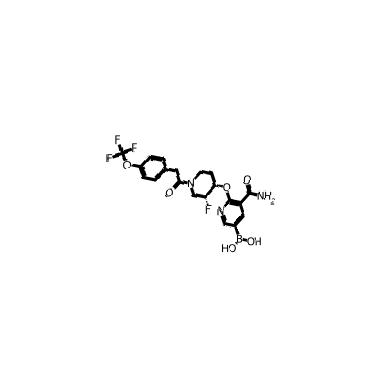 NC(=O)c1cc(B(O)O)cnc1O[C@@H]1CCN(C(=O)Cc2ccc(OC(F)(F)F)cc2)C[C@H]1F